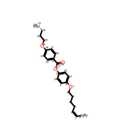 CCC/C=C\CCCCOc1ccc(OC(=O)c2ccc(OCCC[C@@H](C)CC)cc2)cc1